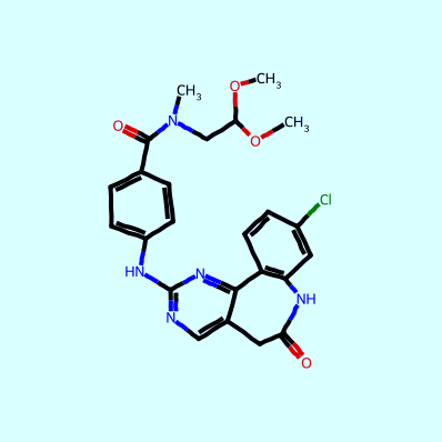 COC(CN(C)C(=O)c1ccc(Nc2ncc3c(n2)-c2ccc(Cl)cc2NC(=O)C3)cc1)OC